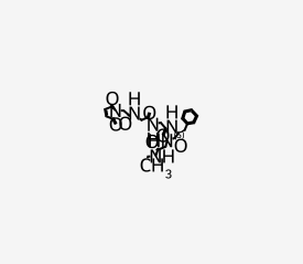 CCNC(=O)CNC(=O)[C@H](Cc1ccccc1)NC(=O)CNC(=O)CNC(=O)CN1C(=O)C=CC1=O